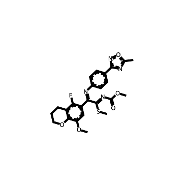 COC(=O)/N=C(\SC)C(=Nc1ccc(-c2noc(C)n2)cc1)c1cc(OC)c2c(c1F)CCCO2